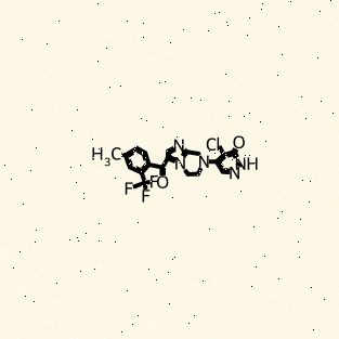 Cc1ccc(C(=O)c2cnc3n2CCN(c2cn[nH]c(=O)c2Cl)C3)c(C(F)(F)F)c1